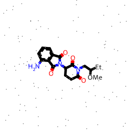 CCC(CN1C(=O)CCC(N2C(=O)c3cccc(N)c3C2=O)C1=O)OC